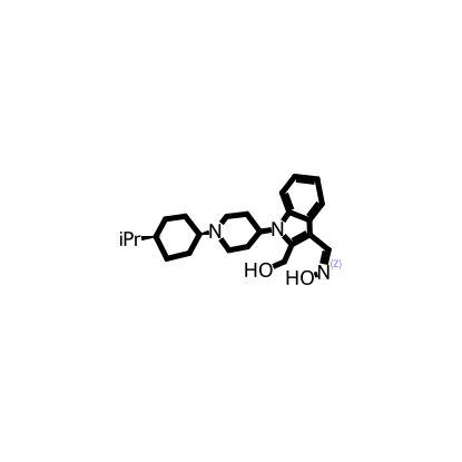 CC(C)[C@H]1CC[C@@H](N2CCC(n3c(CO)c(/C=N\O)c4ccccc43)CC2)CC1